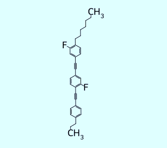 CCCCCCCc1ccc(C#Cc2ccc(C#Cc3ccc(CCC)cc3)c(F)c2)cc1F